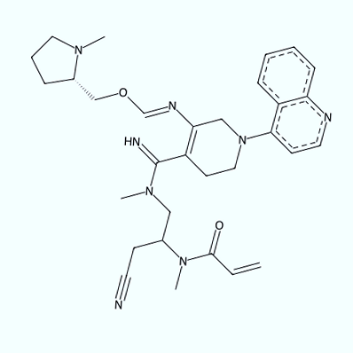 C=CC(=O)N(C)C(CC#N)CN(C)C(=N)C1=C(/N=C/OC[C@@H]2CCCN2C)CN(c2ccnc3ccccc23)CC1